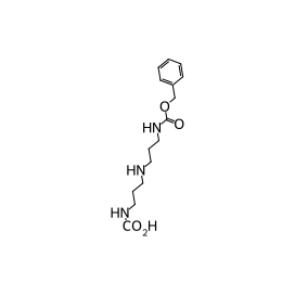 O=C(O)NCCCNCCCNC(=O)OCc1ccccc1